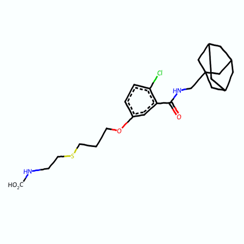 O=C(O)NCCSCCCOc1ccc(Cl)c(C(=O)NCC23CC4CC(CC(C4)C2)C3)c1